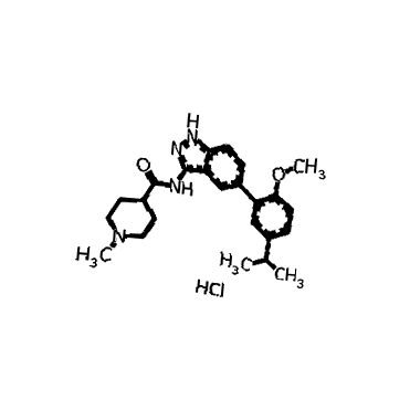 COc1ccc(C(C)C)cc1-c1ccc2[nH]nc(NC(=O)C3CCN(C)CC3)c2c1.Cl